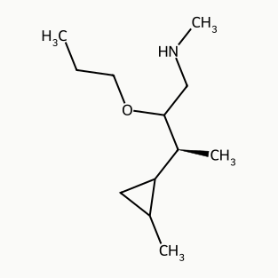 CCCOC(CNC)[C@@H](C)C1CC1C